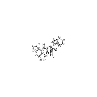 C[C@H]1COc2cc3c(c(NC(=O)N=[S@@](N)(=O)c4cnn5c4OCCC5)c21)CCC3